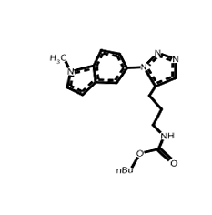 CCCCOC(=O)NCCCc1cnnn1-c1ccc2c(ccn2C)c1